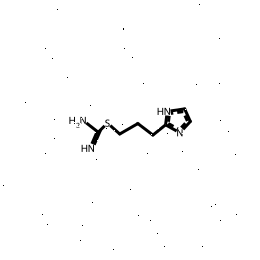 N=C(N)SCCCc1ncc[nH]1